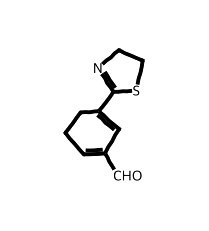 O=CC1=CCCC(C2=NCCS2)=C1